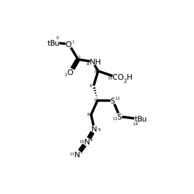 CC(C)(C)OC(=O)NC(C[C@@H](CN=[N+]=[N-])SSC(C)(C)C)C(=O)O